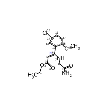 CCOC(=O)/C=C(\NCC(N)=O)c1cc(Cl)ccc1OC